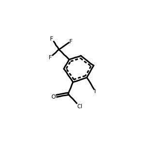 O=C(Cl)c1cc(C(F)(F)F)ccc1I